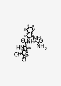 NC(=O)CN[C@@H]1c2ccccc2C[C@H]1NC(=O)c1cc2sc(Cl)c(Cl)c2[nH]1